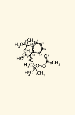 CC(=O)OOC(C)(C)C.CC(C)(C)c1ccccc1C(=O)OO